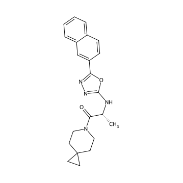 C[C@@H](Nc1nnc(-c2ccc3ccccc3c2)o1)C(=O)N1CCC2(CC1)CC2